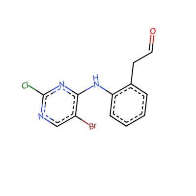 O=CCc1ccccc1Nc1nc(Cl)ncc1Br